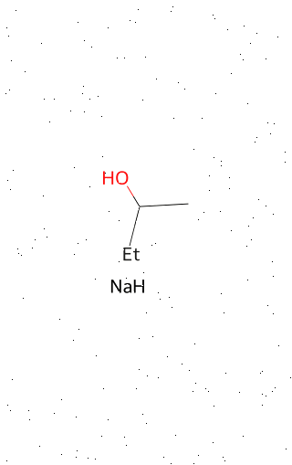 [CH2]CC(C)O.[NaH]